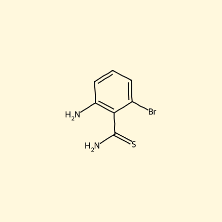 NC(=S)c1c(N)cccc1Br